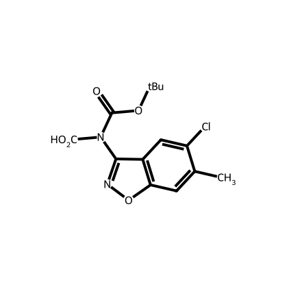 Cc1cc2onc(N(C(=O)O)C(=O)OC(C)(C)C)c2cc1Cl